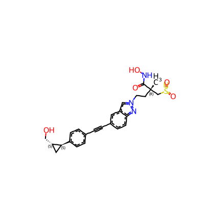 C[C@](CCn1cc2cc(C#Cc3ccc([C@H]4C[C@@H]4CO)cc3)ccc2n1)(C[SH](=O)=O)C(=O)NO